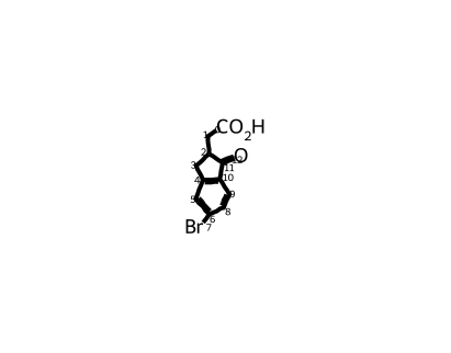 O=C(O)CC1Cc2cc(Br)ccc2C1=O